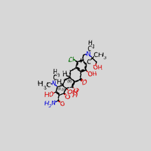 CN(C)[C@@H]1C(O)=C(C(N)=O)C(=O)[C@@]2(O)C(O)=C3C(=O)c4c(O)cc(CN(C)C(C)(C)CO)c(Cl)c4C[C@H]3C[C@@H]12